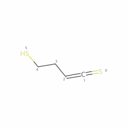 S=C=CCCS